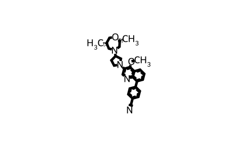 COc1c(N2CCC(N3C[C@H](C)CO[C@H](C)C3)C2)cnc2c(-c3ccc(C#N)cc3)cccc12